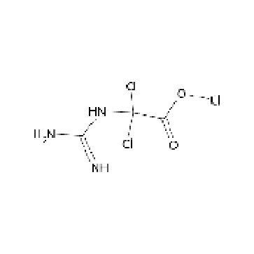 N=C(N)NC(Cl)(Cl)C(=O)OCl